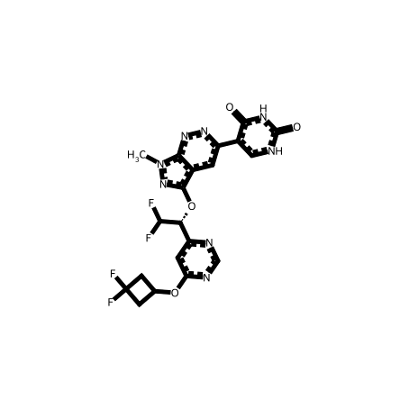 Cn1nc(O[C@H](c2cc(OC3CC(F)(F)C3)ncn2)C(F)F)c2cc(-c3c[nH]c(=O)[nH]c3=O)nnc21